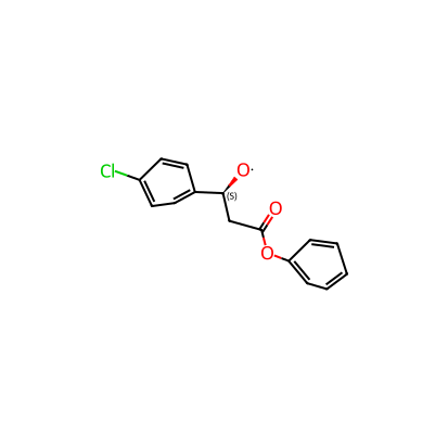 [O][C@@H](CC(=O)Oc1ccccc1)c1ccc(Cl)cc1